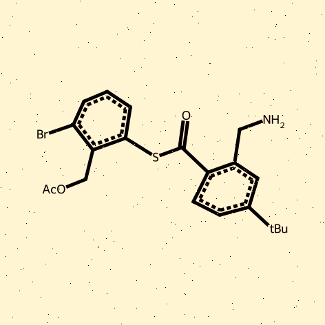 CC(=O)OCc1c(Br)cccc1SC(=O)c1ccc(C(C)(C)C)cc1CN